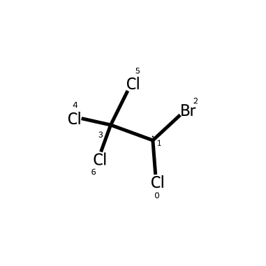 Cl[C](Br)C(Cl)(Cl)Cl